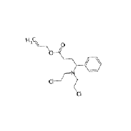 C=CCOC(=O)CCC(c1ccccc1)N(CCCl)CCCl